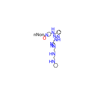 CCCCCCCCCC(=O)N1CCC(Nc2nc(NCc3cn(CCCNCCCNC4CCCCC4)nn3)nc3ccccc23)CC1